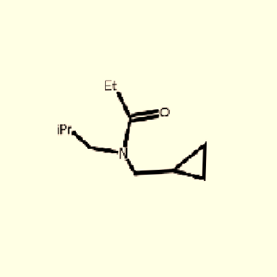 CCC(=O)N(CC(C)C)CC1CC1